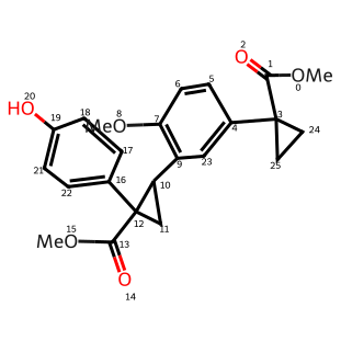 COC(=O)C1(c2ccc(OC)c(C3CC3(C(=O)OC)c3ccc(O)cc3)c2)CC1